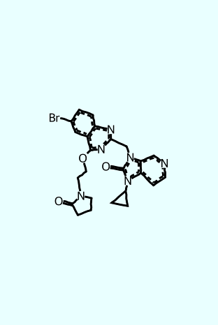 O=C1CCCN1CCOc1nc(Cn2c(=O)n(C3CC3)c3ccncc32)nc2ccc(Br)cc12